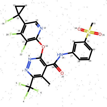 Cc1c(C(F)(F)F)nnc(Oc2ncc(C3(F)CC3)c(F)c2F)c1C(=O)Nc1cccc(S(C)(=O)=O)c1